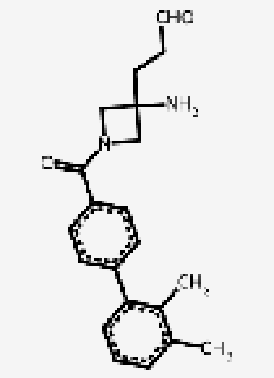 Cc1cccc(-c2ccc(C(=O)N3CC(N)(CCC=O)C3)cc2)c1C